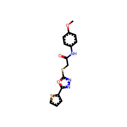 COc1ccc(NC(=O)CSc2nnc(-c3cccs3)o2)cc1